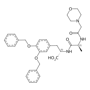 C[C@H](NC(=O)CN1CCOCC1)C(=O)N[C@@H](Cc1ccc(OCc2ccccc2)c(OCc2ccccc2)c1)C(=O)O